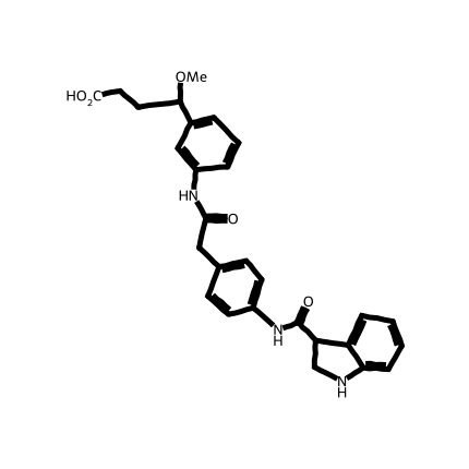 COC(CCC(=O)O)c1cccc(NC(=O)Cc2ccc(NC(=O)C3CNc4ccccc43)cc2)c1